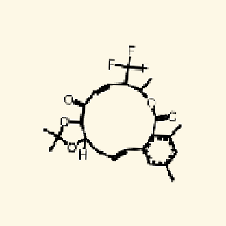 Cc1cc(C)c2c(c1)/C=C/C[C@@H]1OC(C)(C)OC1C(=O)/C=C\C(C(F)(F)F)C(C)OC2=O